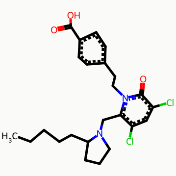 CCCCCC1CCCN1Cc1c(Cl)cc(Cl)c(=O)n1CCc1ccc(C(=O)O)cc1